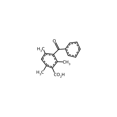 Cc1cc(C)c(C(=O)c2ccccc2)c(C)c1C(=O)O